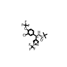 CC(C)(C)[S@@+]([O-])N[C@H](c1ccc(OC(F)(F)F)c(Cl)c1)c1cnn(C(F)(F)F)c1